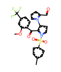 COc1cc(C(F)(F)F)ccc1C(=O)c1c(-n2cccc2C=O)ccn1S(=O)(=O)c1ccc(C)cc1